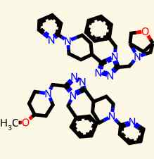 COC1CCN(Cc2nnc(C3CCN(c4ccccn4)CC3)n2Cc2ccccc2)CC1.c1ccc(Cn2c(CN3CC4CC3CO4)nnc2C2CCN(c3ccccn3)CC2)cc1